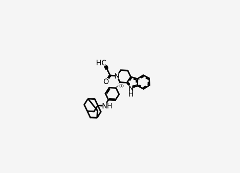 C#CC(=O)N1CCc2c([nH]c3ccccc23)[C@@H]1C1C=CC(NC23CC4CC(CC(C4)C2)C3)=CC1